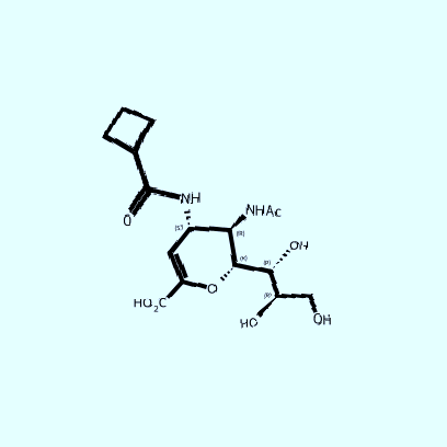 CC(=O)N[C@H]1[C@H]([C@H](O)[C@H](O)CO)OC(C(=O)O)=C[C@@H]1NC(=O)C1CCC1